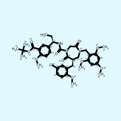 CC[C@@H](NC(=O)N1CC(=O)N(Cc2c(OC)cc(OC)cc2OC)C[C@@H](Cc2cc(Cl)ccc2OC)C1=O)c1ccc(OC)c(C(=O)OC(C)(C)C)c1